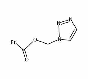 CCC(=O)OCn1ccnn1